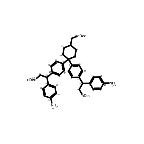 CCCCCCCCCCCC1CCC(c2ccc(C(CCCCCCCCCCC)c3ccc(N)cc3)cc2)(c2ccc(C(CCCCCCCCCCC)c3ccc(N)cc3)cc2)CC1